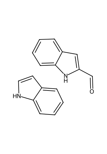 O=Cc1cc2ccccc2[nH]1.c1ccc2[nH]ccc2c1